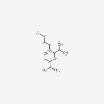 C[C@@H](O)C(CO)OC(OCCCS)C(O)O